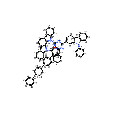 C1=C(c2nc(-c3ccccc3)nc(-n3c4ccccc4c4ccc5c6ccccc6n(-c6ccccc6-c6ccc(-c7ccc(-c8ccccc8)cc7)cc6)c5c43)n2)C=C2C(C1)c1ccccc1N2c1ccccc1